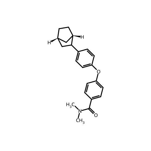 CN(C)C(=O)c1ccc(Oc2ccc(C3C[C@@H]4CC[C@H]3C4)cc2)cc1